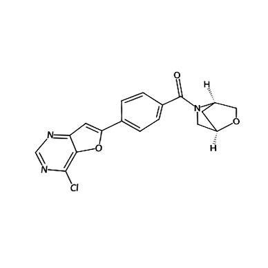 O=C(c1ccc(-c2cc3ncnc(Cl)c3o2)cc1)N1C[C@H]2C[C@@H]1CO2